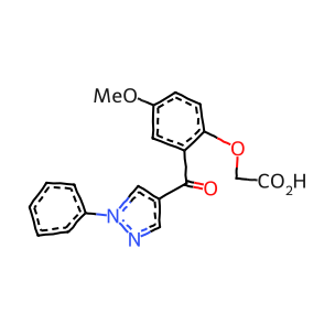 COc1ccc(OCC(=O)O)c(C(=O)c2cnn(-c3ccccc3)c2)c1